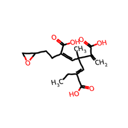 C=C(C(=O)O)C(C)(C=C(CC)C(=O)O)C=C(CCC1CO1)C(=O)O